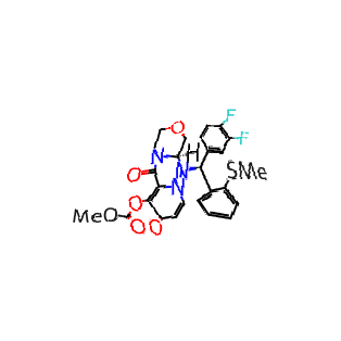 COC(=O)Oc1c2n(ccc1=O)N([C@@H](c1ccc(F)c(F)c1)c1ccccc1SC)[C@@H]1COCCN1C2=O